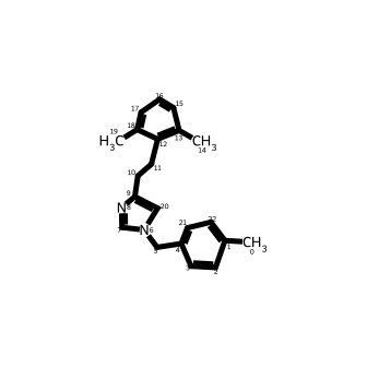 Cc1ccc(Cn2cnc(CCc3c(C)cccc3C)c2)cc1